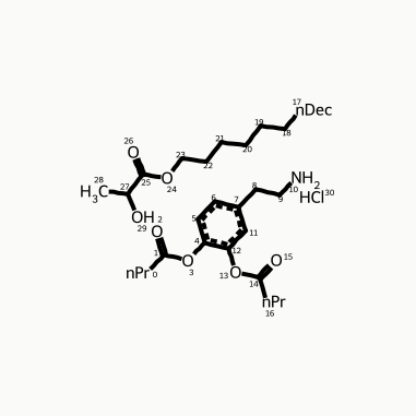 CCCC(=O)Oc1ccc(CCN)cc1OC(=O)CCC.CCCCCCCCCCCCCCCCOC(=O)C(C)O.Cl